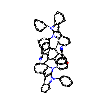 N#Cc1cccc(-n2c3c(-c4c5ccccc5c(-c5cccc6c7c8ccccc8n(-c8ccccc8)c7n(-c7cccc(C#N)c7)c56)c5ccccc45)cccc3c3c4ccccc4n(-c4ccccc4)c32)c1